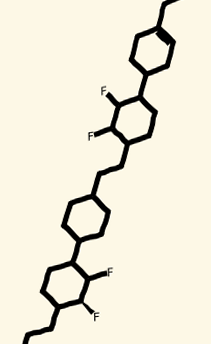 CCCC1CCC(C2CCC(CCC3CCC(C4CC=C(CC)CC4)C(F)C3F)CC2)C(F)[C@H]1F